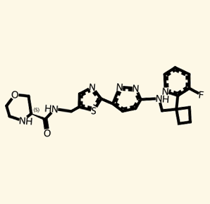 O=C(NCc1cnc(-c2ccc(NCC3(c4ncccc4F)CCC3)nn2)s1)[C@@H]1COCCN1